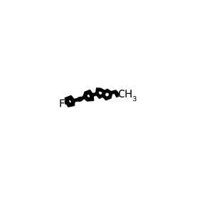 C/C=C/C1CCC2CC(c3ccc(C#Cc4ccc(F)cc4)cc3)CCC2C1